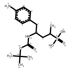 CC(CC(Cc1ccc(N)cc1)NC(=O)OC(C)(C)C)P(=O)(O)O